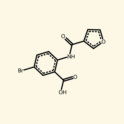 O=C(Nc1ccc(Br)cc1C(=O)O)c1ccoc1